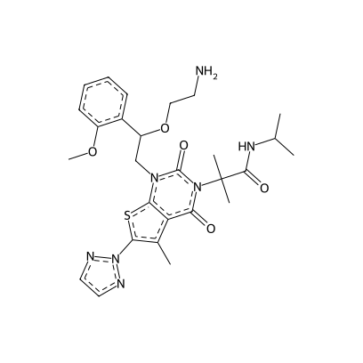 COc1ccccc1C(Cn1c(=O)n(C(C)(C)C(=O)NC(C)C)c(=O)c2c(C)c(-n3nccn3)sc21)OCCN